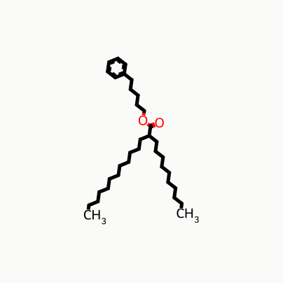 CCCCCCCCCCCCC(CCCCCCCCCC)C(=O)OCCCCCc1ccccc1